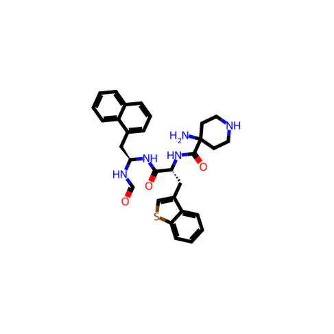 NC1(C(=O)N[C@H](Cc2csc3ccccc23)C(=O)N[C@H](Cc2cccc3ccccc23)NC=O)CCNCC1